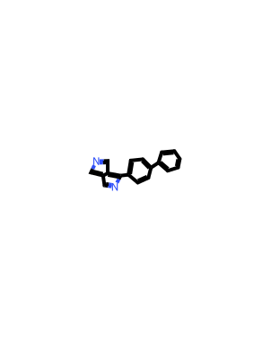 C1=NC=C2C=NC(c3ccc(-c4ccccc4)cc3)=C12